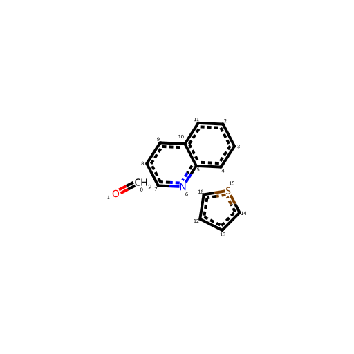 C=O.c1ccc2ncccc2c1.c1ccsc1